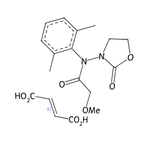 COCC(=O)N(c1c(C)cccc1C)N1CCOC1=O.O=C(O)/C=C/C(=O)O